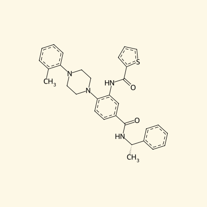 Cc1ccccc1N1CCN(c2ccc(C(=O)N[C@@H](C)c3ccccc3)cc2NC(=O)c2cccs2)CC1